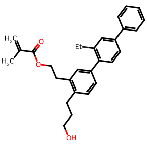 C=C(C)C(=O)OCCc1cc(-c2ccc(-c3ccccc3)cc2CC)ccc1CCCO